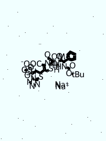 CO[C@@]1(NC(=O)C(NC(=O)OC(C)(C)C)c2ccccc2)C(=O)N2C(C(=O)[O-])=C(C(CCS(=O)(=O)[O-])Sc3nnn[nH]3)CS[C@H]21.[Na+].[Na+]